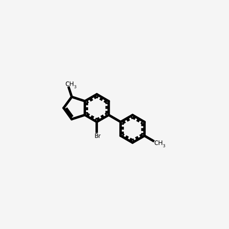 Cc1ccc(-c2ccc3c(c2Br)C=CC3C)cc1